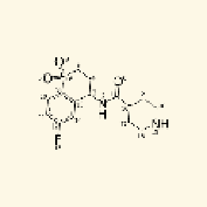 O=C(NC1CCS(=O)(=O)c2ccc(F)cc21)C1CCNCC1